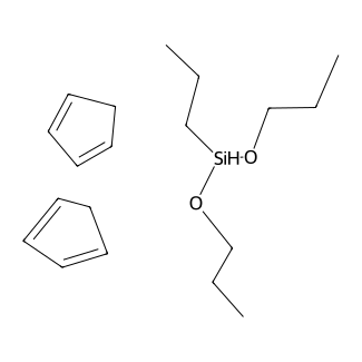 C1=CCC=C1.C1=CCC=C1.CCCO[SiH](CCC)OCCC